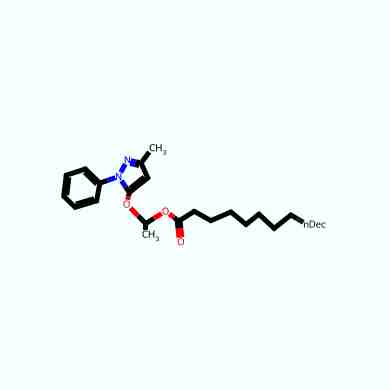 CCCCCCCCCCCCCCCCCC(=O)OC(C)Oc1cc(C)nn1-c1ccccc1